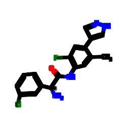 Cc1cc(NC(=O)[C@H](N)c2cccc(Cl)c2)c(F)cc1-c1cn[nH]c1